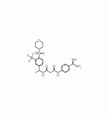 CC(NC(=O)CC(=O)Nc1ccc(C(=N)N)cc1)c1ccc(S(=O)(=O)N2CCOCC2)c(C(F)(F)F)c1